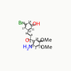 COc1cc(N)c(C(=O)/C=C/c2cc(O)cc(Br)c2)cc1OC